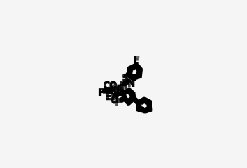 CCC(F)(NC(=O)C1(Nc2nc3ccc(F)cc3s2)C=CC(c2ccccc2)=CC1F)C(=O)O